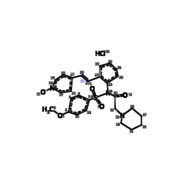 COc1ccc(S(=O)(=O)N(C(=O)CN2CCCCC2)c2ccccc2/C=C/c2cc[n+]([O-])cc2)cc1.Cl